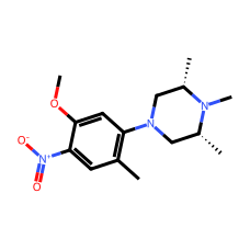 COc1cc(N2C[C@@H](C)N(C)[C@@H](C)C2)c(C)cc1[N+](=O)[O-]